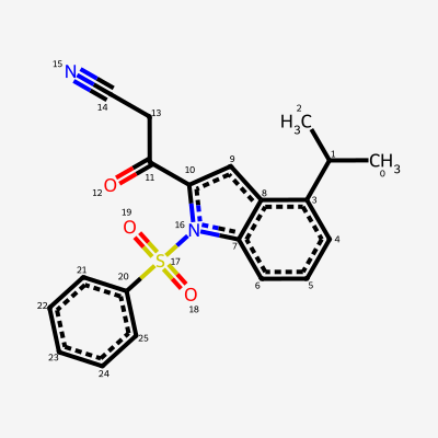 CC(C)c1cccc2c1cc(C(=O)CC#N)n2S(=O)(=O)c1ccccc1